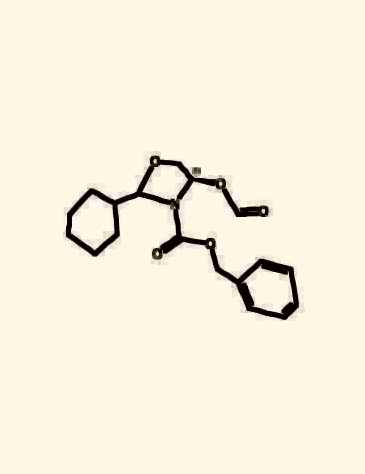 O=CO[C@@H]1COC(C2CCCCC2)N1C(=O)OCc1ccccc1